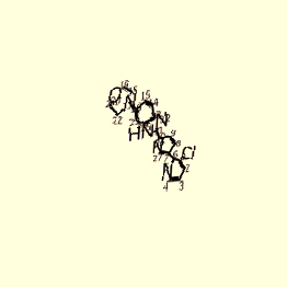 Clc1cccnc1-c1ccc(-c2nc3ccc(N4CCOCC4)cc3[nH]2)nc1